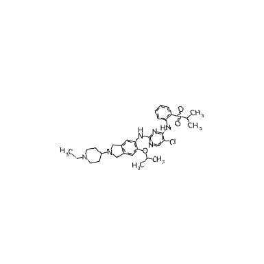 CCN1CCC(N2Cc3cc(Nc4ncc(Cl)c(Nc5ccccc5S(=O)(=O)C(C)C)n4)c(OC(C)C)cc3C2)CC1